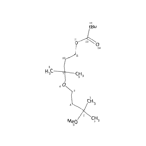 COC(C)(C)CCOC(C)(C)CCOC(=O)C(C)(C)C